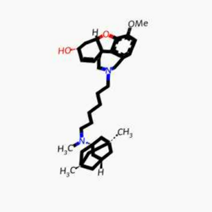 COc1ccc2c3c1O[C@H]1C[C@@H](O)C=C[C@@]31CCN(CCCCCCN(C)[C@]13C[C@@H]4C[C@@](C)(C[C@@](C)(C4)C1)C3)C2